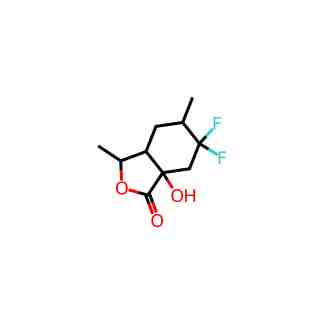 CC1OC(=O)C2(O)CC(F)(F)C(C)CC12